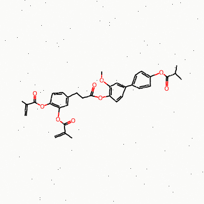 C=C(C)C(=O)Oc1ccc(CCC(=O)Oc2ccc(-c3ccc(OC(=O)C(C)C)cc3)cc2OC)cc1OC(=O)C(=C)C